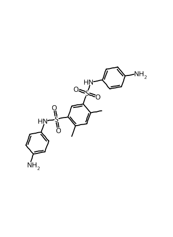 Cc1cc(C)c(S(=O)(=O)Nc2ccc(N)cc2)cc1S(=O)(=O)Nc1ccc(N)cc1